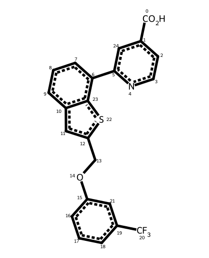 O=C(O)c1ccnc(-c2cccc3cc(COc4cccc(C(F)(F)F)c4)sc23)c1